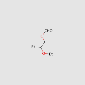 CCOC(CC)CO[C]=O